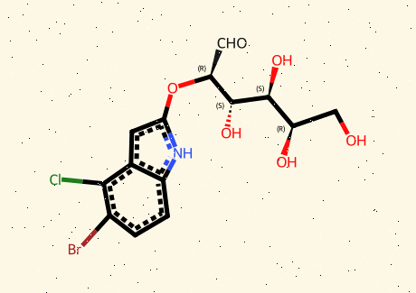 O=C[C@H](Oc1cc2c(Cl)c(Br)ccc2[nH]1)[C@@H](O)[C@@H](O)[C@H](O)CO